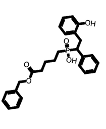 O=C(CCCCP(=O)(O)C(Cc1ccccc1O)c1ccccc1)OCc1ccccc1